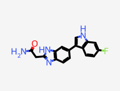 NC(=O)Cc1nc2ccc(-c3c[nH]c4cc(F)ccc34)cc2[nH]1